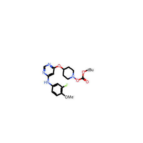 COc1ccc(Nc2cc(OC3CCN(OC(=O)OC(C)(C)C)CC3)ncn2)cc1F